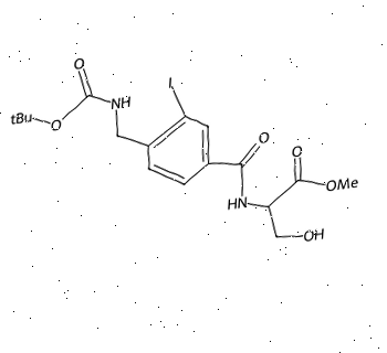 COC(=O)C(CO)NC(=O)c1ccc(CNC(=O)OC(C)(C)C)c(I)c1